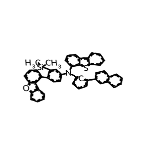 C[Si]1(C)c2cc(N(c3cccc(-c4ccc5ccccc5c4)c3)c3cccc4c3sc3ccccc34)ccc2-c2c1ccc1oc3ccccc3c21